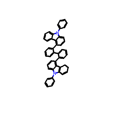 C1=Cc2c(c3c(-c4ccccc4-c4ccccc4-c4cccc5c4c4ccccc4n5-c4ccccc4)cccc3n2-c2ccccc2)CC1